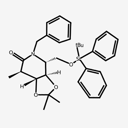 C[C@H]1C(=O)N(Cc2ccccc2)[C@H](CO[Si](c2ccccc2)(c2ccccc2)C(C)(C)C)[C@H]2OC(C)(C)O[C@@H]21